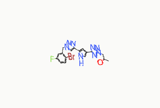 CC(=O)Cn1nnc(-c2c[nH]c(-c3cn(Cc4cc(F)ccc4Br)nn3)c2)n1